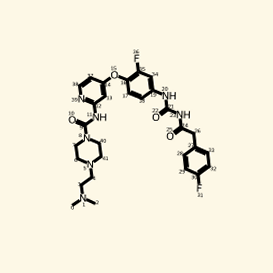 CN(C)CCN1CCN(C(=O)Nc2cc(Oc3ccc(NC(=O)NC(=O)Cc4ccc(F)cc4)cc3F)ccn2)CC1